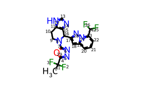 CC(F)(F)c1nnc(N2CCc3[nH]cnc3C2c2cc3cccc(C(F)F)n3n2)o1